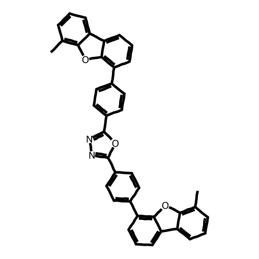 Cc1cccc2c1oc1c(-c3ccc(-c4nnc(-c5ccc(-c6cccc7c6oc6c(C)cccc67)cc5)o4)cc3)cccc12